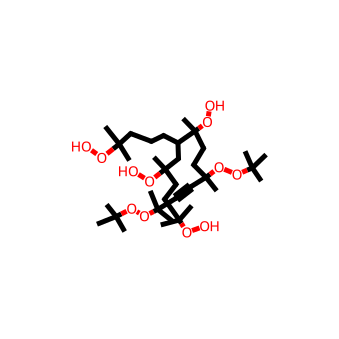 CC(C)(C)OOC(C)(C)C#CC(C)(CCC(C)(OO)C(CCCC(C)(C)OO)CC(C)(CCC(C)(C)OO)OO)OOC(C)(C)C